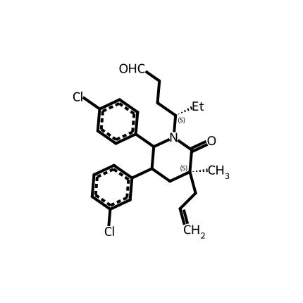 C=CC[C@@]1(C)CC(c2cccc(Cl)c2)C(c2ccc(Cl)cc2)N([C@@H](CC)CCC=O)C1=O